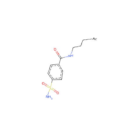 CC(=O)CCCNC(=O)c1ccc(S(N)(=O)=O)cc1